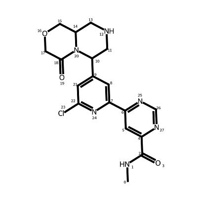 CNC(=O)c1cc(-c2cc(C3CNCC4COCC(=O)N43)cc(Cl)n2)ncn1